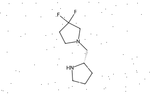 FC1(F)CCN(C[C@@H]2CCCN2)C1